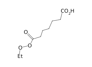 CCOOC(=O)CCCCCC(=O)O